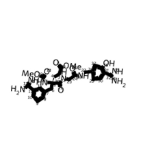 COC(=O)CC[C@](Cc1cccc(C(=N)N)c1)(NC(=O)OC)C(=O)NCC(=O)NCc1ccc(C(=N)N)c(O)c1